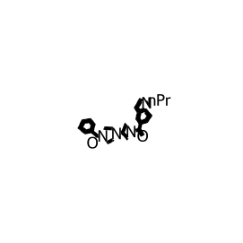 CCCn1ccc2cc(C(=O)N3CC(N4CCN(C(=O)c5ccccc5)CC4)C3)ccc21